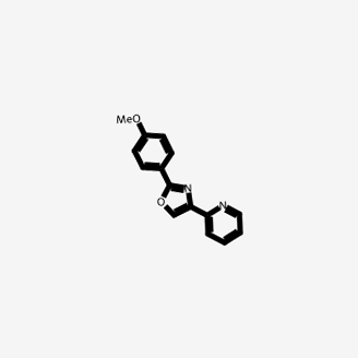 COc1ccc(-c2nc(-c3ccccn3)co2)cc1